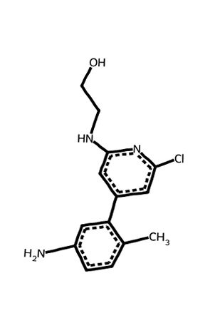 Cc1ccc(N)cc1-c1cc(Cl)nc(NCCO)c1